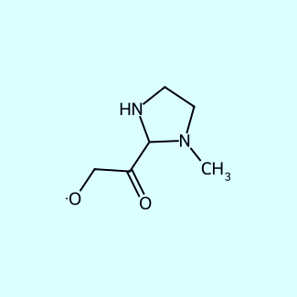 CN1CCNC1C(=O)C[O]